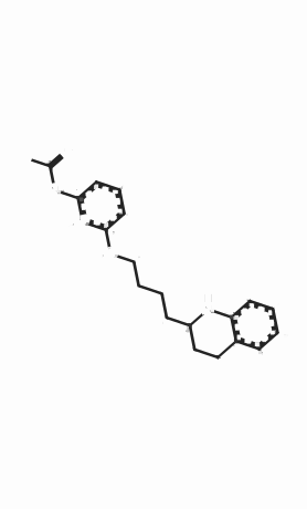 CCC(=O)Nc1cccc(OCCCCC2CCc3ccccc3N2)n1